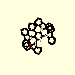 c1ccc(-c2c(-n3c4ccccc4c4ccccc43)c(-n3c4ccccc4c4ccccc43)nc(-n3c4ccccc4c4ccccc43)c2-n2c3ccccc3c3ccccc32)cc1